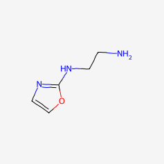 NCCNc1ncco1